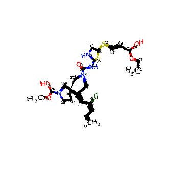 C=C/C=C(Cl)\C=C1/CN(C(=O)NC2NCC(SCCC(O)OCC)S2)C[C@]12CCN(C(O)OC)C2